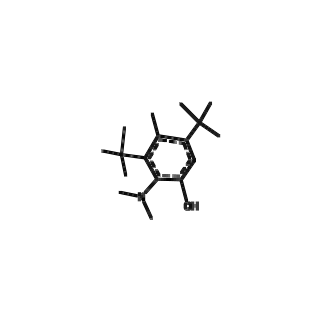 Cc1c(C(C)(C)C)cc(O)c(N(C)C)c1C(C)(C)C